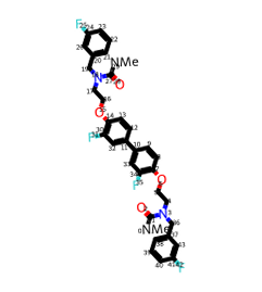 CNC(=O)N(CCOc1ccc(-c2ccc(OCCN(Cc3cccc(F)c3)C(=O)NC)c(F)c2)cc1F)Cc1cccc(F)c1